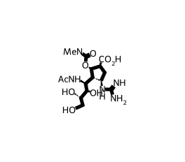 CNC(=O)O[C@H]1[C@@H]([C@H](NC(C)=O)[C@@H](O)[C@@H](O)CO)[C@H](NC(=N)N)C[C@@H]1C(=O)O